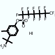 Cc1cc(OS(=O)(=O)C(F)(F)C(F)(F)C(F)(F)C(F)(F)C(F)(F)C(F)(F)F)ccc1C(C)(C)N.I